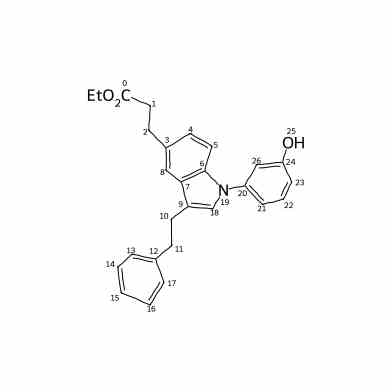 CCOC(=O)CCc1ccc2c(c1)c(CCc1ccccc1)cn2-c1cccc(O)c1